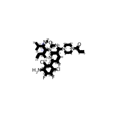 C=CC(=O)N1CCN(c2nc(=O)n(C(/C(=N\C)C(C)C)=C(\C)C=C)c3nc(-c4c(Cl)c(N)c(F)c(F)c4Cl)c(F)cc23)CC1